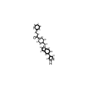 O=C(CCc1ccccn1)N1CCC(Cn2ccc3cc(-c4cn[nH]c4)ccc32)CC1